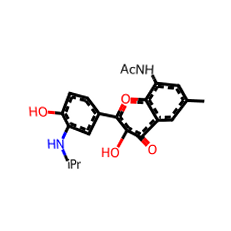 CC(=O)Nc1cc(C)cc2c(=O)c(O)c(-c3ccc(O)c(NC(C)C)c3)oc12